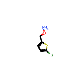 NOCc1ccc(Cl)s1